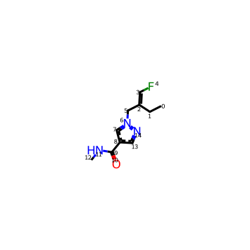 CC/C(=C\F)Cn1cc(C(=O)NC)cn1